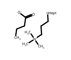 CCCC(=O)[O-].CCCCCCCCCC[N+](C)(C)C